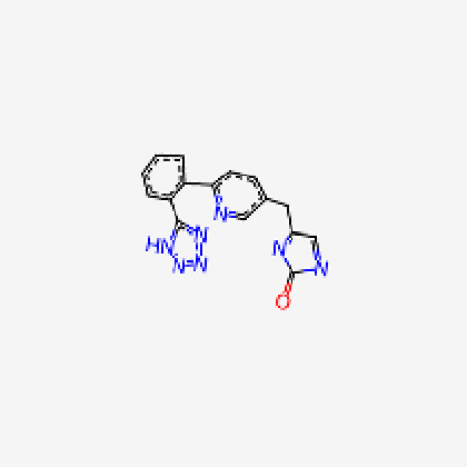 O=C1N=CC(Cc2ccc(-c3ccccc3-c3nnn[nH]3)nc2)=N1